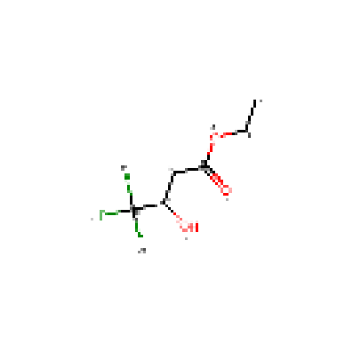 CCOC(=O)C[C@H](O)C(F)(F)F